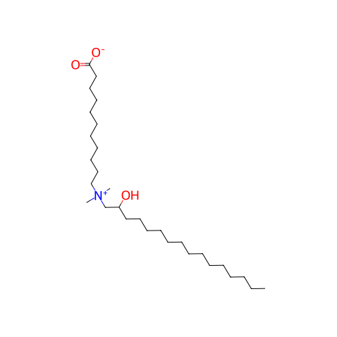 CCCCCCCCCCCCCCC(O)C[N+](C)(C)CCCCCCCCCCC(=O)[O-]